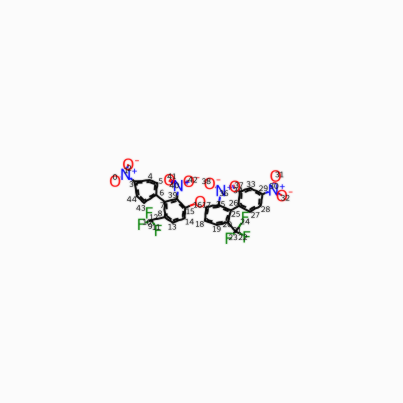 O=[N+]([O-])c1ccc(-c2c(C(F)(F)F)ccc(Oc3ccc(C(F)(F)F)c(-c4ccc([N+](=O)[O-])cc4)c3[N+](=O)[O-])c2[N+](=O)[O-])cc1